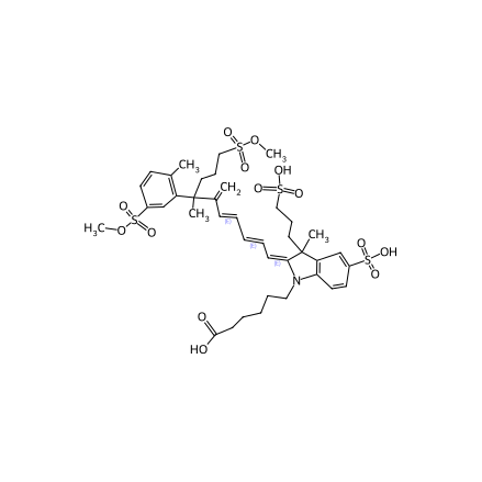 C=C(/C=C/C=C/C=C1/N(CCCCCC(=O)O)c2ccc(S(=O)(=O)O)cc2C1(C)CCCS(=O)(=O)O)C(C)(CCCS(=O)(=O)OC)c1cc(S(=O)(=O)OC)ccc1C